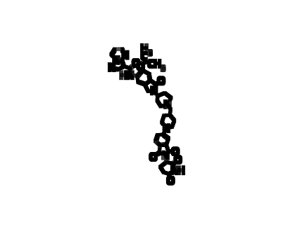 CC(C)Oc1cc2c(cc1NC(=O)c1cnn3cccnc13)CN(C1CCN(CC3CCN(c4ccc5c(c4)C(=O)N(C4CCC(=O)NC4=O)C5=O)CC3)CC1)C2=O